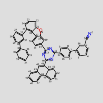 N#Cc1cccc(-c2ccc(-c3nc(-c4ccc5c(c4)oc4cccc(-c6cccc(-c7ccccc7)c6)c45)nc(-c4cc5ccccc5c5ccccc45)n3)cc2)c1